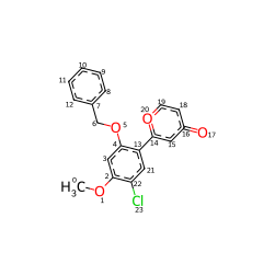 COc1cc(OCc2ccccc2)c(-c2cc(=O)cco2)cc1Cl